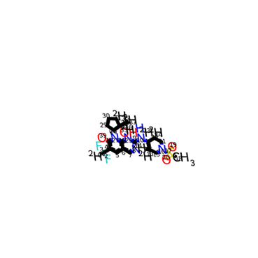 [2H]C(F)(F)c1cc2cnc(NC3C([2H])([2H])CN(S(C)(=O)=O)CC3([2H])[2H])nc2n([C@@H]2CCC[C@]2(O)C([2H])([2H])[2H])c1=O